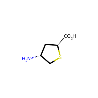 N[C@H]1CS[C@@H](C(=O)O)C1